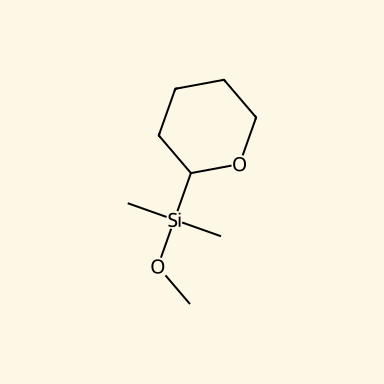 CO[Si](C)(C)C1CCCCO1